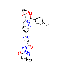 CCCCCCC(=O)NNC(=O)c1cnc(-c2ccc(CC(NC(=O)c3ccc(C(C)(C)C)cc3)C(=O)OC(C)(C)C)cc2)nc1